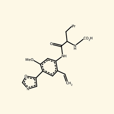 C=Cc1cc(-c2cnco2)c(OC)cc1NC(=O)C(CC(C)C)NC(=O)O